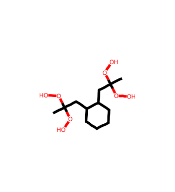 CC(CC1CCCCC1CC(C)(OO)OO)(OO)OO